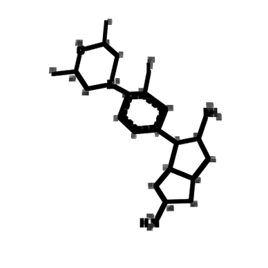 CC1CN(c2ccc(C3C(N)CC4CC(N)CC43)cc2F)CC(C)O1